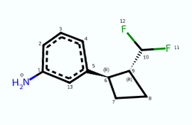 Nc1cccc([C@@H]2CC[C@H]2C(F)F)c1